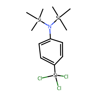 C[Si](C)(C)N(c1ccc([Si](Cl)(Cl)Cl)cc1)[Si](C)(C)C